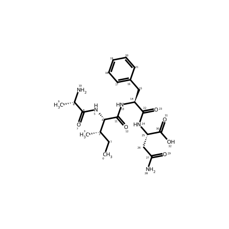 CC[C@H](C)[C@H](NC(=O)[C@H](C)N)C(=O)N[C@@H](Cc1ccccc1)C(=O)N[C@@H](CC(N)=O)C(=O)O